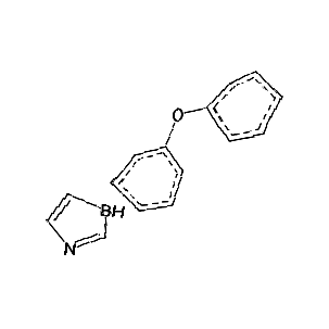 B1C=CN=C1.c1ccc(Oc2ccccc2)cc1